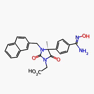 C[C@]1(c2ccc(C(N)=NO)cc2)C(=O)N(CC(=O)O)C(=O)N1Cc1ccc2ccccc2c1